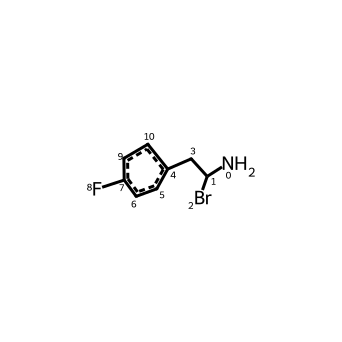 NC(Br)Cc1ccc(F)cc1